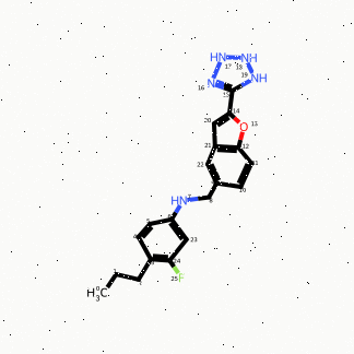 CCCc1ccc(NCc2ccc3oc(C4=NNNN4)cc3c2)cc1F